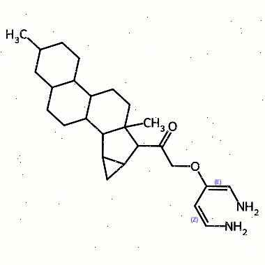 CC1CCC2C(CCC3C2CCC2(C)C(C(=O)COC(/C=C\N)=C/N)C4CC4C32)C1